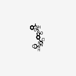 CC(NC(=O)CN1Cc2ccc(-c3nc(NC4CCOCC4)ncc3Cl)cc2C1=O)c1ccccc1